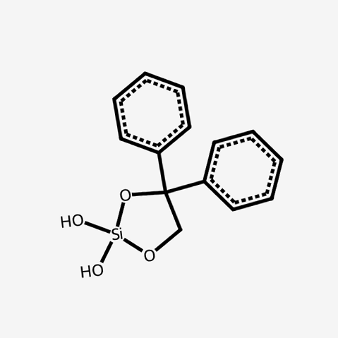 O[Si]1(O)OCC(c2ccccc2)(c2ccccc2)O1